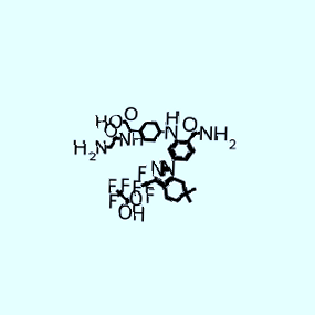 CC1(C)CCc2c(C(F)(F)F)nn(-c3ccc(C(N)=O)c(N[C@H]4CC[C@H](C(NC(=O)CN)C(=O)O)CC4)c3)c2C1.O=C(O)C(F)(F)F